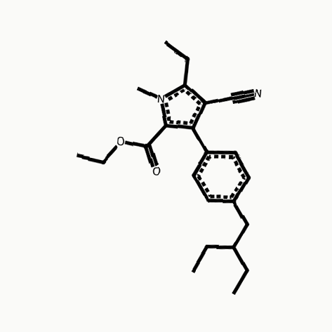 CCOC(=O)c1c(-c2ccc(CC(CC)CC)cc2)c(C#N)c(CC)n1C